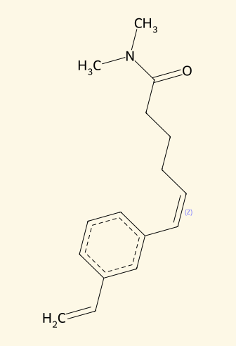 C=Cc1cccc(/C=C\CCCC(=O)N(C)C)c1